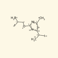 BC(F)COc1nc(C)cc(C(C)I)n1